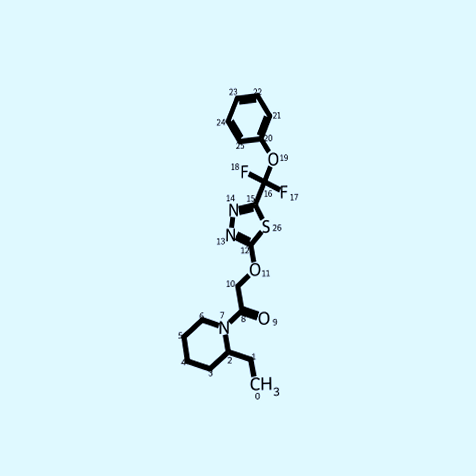 CCC1CCCCN1C(=O)COc1nnc(C(F)(F)Oc2ccccc2)s1